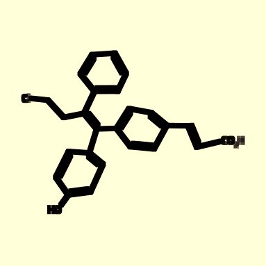 O=C(O)/C=C/c1ccc(/C(=C(/CCCl)c2ccccc2)c2ccc(O)cc2)cc1